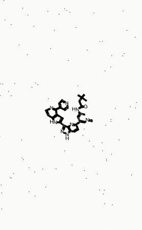 C=N/C=C(\C=C(/C)NC(=O)CC(C)(C)C)c1ccc2[nH]nc(-c3cc4c(-c5ccncc5)nccc4[nH]3)c2n1